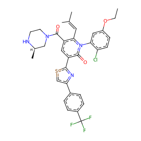 CCOc1ccc(Cl)c(-n2c(C=C(C)C)c(C(=O)N3CCN[C@H](C)C3)cc(-c3nc(-c4ccc(C(F)(F)F)cc4)cs3)c2=O)c1